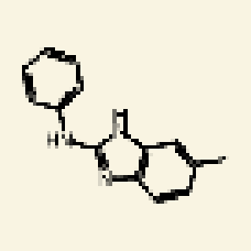 Cc1ccc2nc(Nc3ccccc3)[nH]c2c1